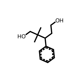 CC(C)(CO)C(CCO)c1ccccc1